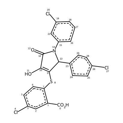 O=C(O)c1cc(Cl)ccc1SC1=C(O)C(=O)N(c2cccc(Cl)c2)C1c1ccc(Cl)cc1